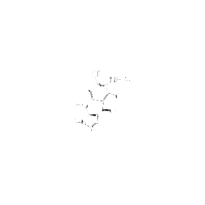 CC(=O)Nc1c(C(F)(F)F)ccc(C(=O)c2c(C)nn(C)c2O)c1Cl